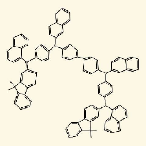 CC1(C)c2ccccc2-c2ccc(N(c3ccc(N(c4ccc(-c5ccc(N(c6ccc(N(c7ccc8c(c7)C(C)(C)c7ccccc7-8)c7cccc8ccccc78)cc6)c6ccc7ccccc7c6)cc5)cc4)c4ccc5ccccc5c4)cc3)c3cccc4ccccc34)cc21